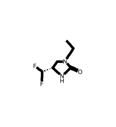 CCN1C[C@@H](C(F)F)NC1=O